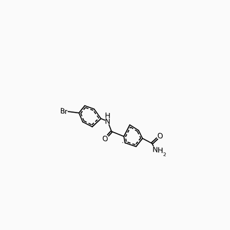 NC(=O)c1c[c]c(C(=O)Nc2ccc(Br)cc2)cc1